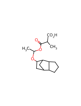 CC(OC(=O)C(C)C(=O)O)OC1CC2CC1C1CCCC21